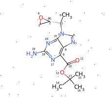 CC([C@@H]1CO1)n1cnc2c(C(=O)OC(C)(C)C)nc(N)nc21